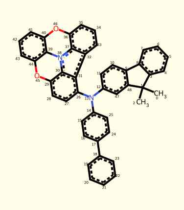 CC1(C)c2ccccc2-c2ccc(N(c3ccc(-c4ccccc4)cc3)c3ccc4c5c3c3cccc6c3n5-c3c(cccc3O4)O6)cc21